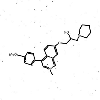 COc1ccc(-c2c[n+](C)cc3cc(OCC(O)CN4CCCCC4)ccc23)cc1